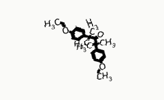 CCOc1ccc(C(C)(C)C(=O)C(C)(C)c2ccc(OCC)cc2)cc1